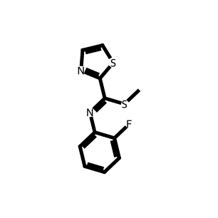 CSC(=Nc1ccccc1F)c1nccs1